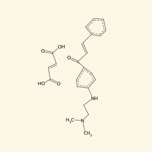 CN(C)CCNc1ccc(C(=O)/C=C/c2ccccc2)cc1.O=C(O)/C=C/C(=O)O